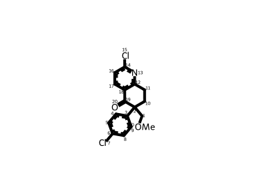 COCC1(c2ccc(Cl)cc2)CCc2nc(Cl)ccc2C1=O